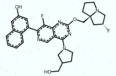 OCC1CCN(c2nc(OC[C@@]34CCCN3C[C@H](F)C4)nc3c(F)c(-c4cc(O)cc5ccccc45)ncc23)C1